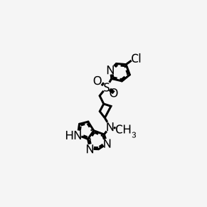 CN(c1ncnc2[nH]ccc12)C1CC(CS(=O)(=O)c2ccc(Cl)cn2)C1